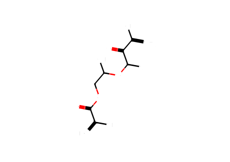 C=C(C)C(=O)OCC(C)OC(C)C(=O)C(=C)C